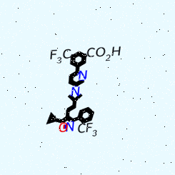 O=C(O)c1cc(-c2ccc(N3CC(C=Cc4c(-c5ccccc5C(F)(F)F)noc4C4CC4)C3)cn2)cc(C(F)(F)F)c1